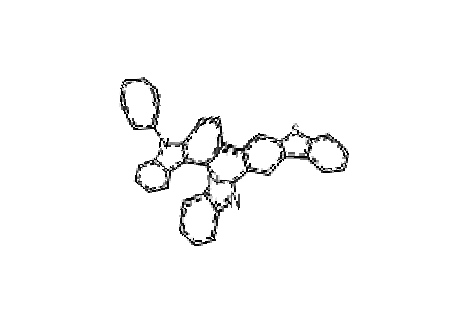 c1ccc(-n2c3ccccc3c3c2ccc2c4cc5sc6ccccc6c5cc4c4nc5ccccc5n4c23)cc1